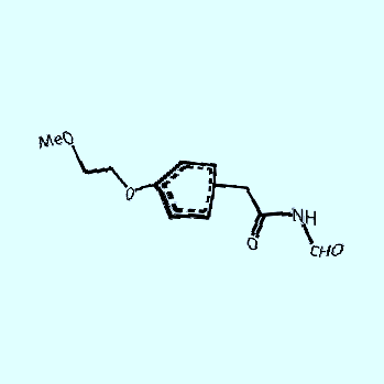 COCCOc1ccc(CC(=O)NC=O)cc1